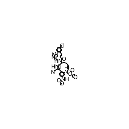 COC(=O)Nc1ccc2c(c1)N[C@@H](C(=O)OC1COC1)CCCC[C@H](NC(=O)/C=C/c1cc(Cl)ccc1-n1cnnn1)c1nc-2c(C#N)[nH]1